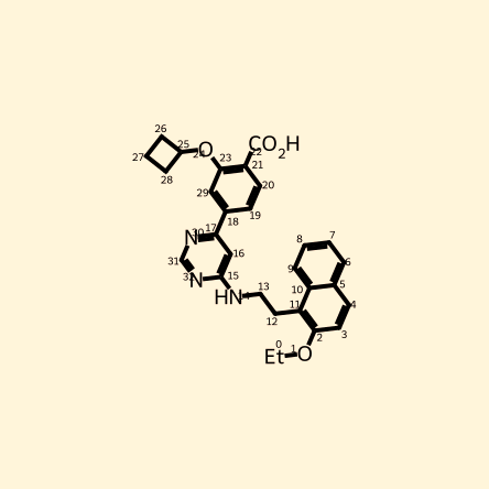 CCOc1ccc2ccccc2c1CCNc1cc(-c2ccc(C(=O)O)c(OC3CCC3)c2)ncn1